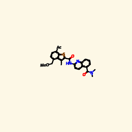 COCc1ccc(C(C)=O)c2sc(C(=O)Nc3ccc4c(C(=O)N(C)C)cccc4n3)c(C)c12